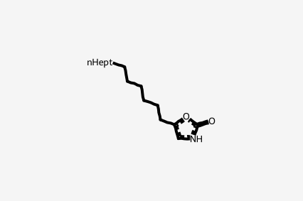 CCCCCCCCCCCCCc1c[nH]c(=O)o1